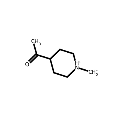 [CH2-][NH+]1CCC(C(C)=O)CC1